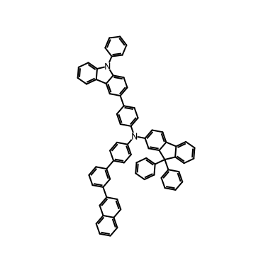 c1ccc(-n2c3ccccc3c3cc(-c4ccc(N(c5ccc(-c6cccc(-c7ccc8ccccc8c7)c6)cc5)c5ccc6c(c5)C(c5ccccc5)(c5ccccc5)c5ccccc5-6)cc4)ccc32)cc1